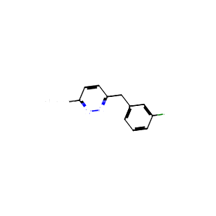 O=C(O)c1ccc(Cc2cccc(Cl)c2)nn1